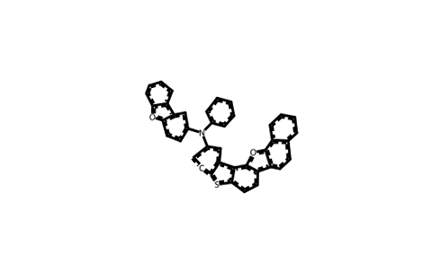 c1ccc(N(c2ccc3oc4ccccc4c3c2)c2ccc3sc4ccc5c6ccc7ccccc7c6oc5c4c3c2)cc1